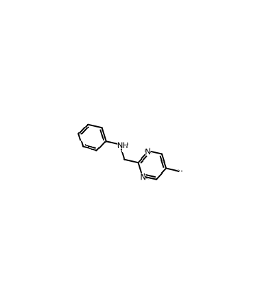 [CH2]c1cnc(CNc2ccccc2)nc1